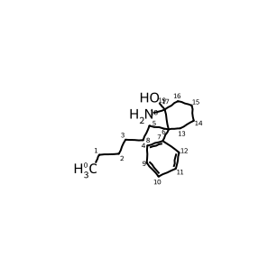 CCCCCCC1(c2ccccc2)CCCCC1(N)O